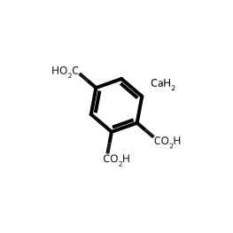 O=C(O)c1ccc(C(=O)O)c(C(=O)O)c1.[CaH2]